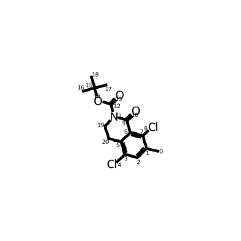 Cc1cc(Cl)c2c(c1Cl)C(=O)N(C(=O)OC(C)(C)C)CC2